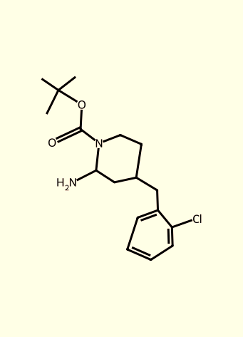 CC(C)(C)OC(=O)N1CCC(Cc2ccccc2Cl)CC1N